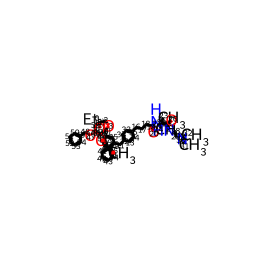 CC[C@@]12CO[C@@](c3ccc(C)c(Cc4ccc(CCCC(=O)NC(C)(C)C(=O)NCCN(C)C)cc4)c3)(O1)[C@H](OCc1ccccc1)[C@@H](OCc1ccccc1)C2